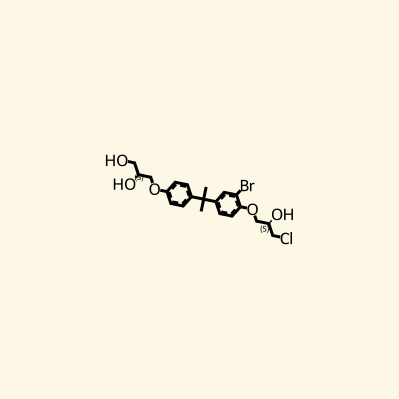 CC(C)(c1ccc(OC[C@@H](O)CO)cc1)c1ccc(OC[C@H](O)CCl)c(Br)c1